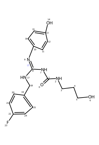 O=C(NCCCO)N/C(=N\c1ccc(O)cc1)NCc1ccc(F)cc1